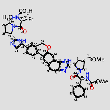 COC[C@H]1C[C@@H](c2nc3ccc4cc5c(cc4c3[nH]2)OCc2cc(-c3cnc([C@@H]4CC[C@H](C)N4C(=O)[C@@H](NC(=O)O)C(C)C)[nH]3)ccc2-5)N(C(=O)[C@H](NC(=O)OC)c2ccccc2)C1